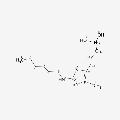 CCCCCCNc1nc(C)c(CCON(O)O)s1